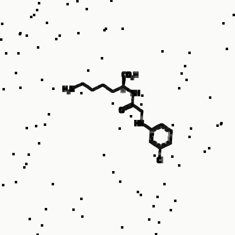 NCCCC[C@H](NC(=O)CNc1cccc(Cl)c1)C(=O)O